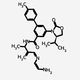 C=C(/C=N\C=C/N)C(C)NC(=O)c1cc(-c2ccc(C)cc2)cc(N2C(=O)OC[C@H]2C(C)C)c1